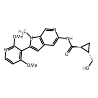 COc1ccnc(OC)c1-c1cc2cc(NC(=O)[C@H]3C[C@@H]3CO)ncc2n1C